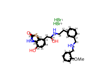 Br.Br.COc1ccccc1CNCc1cccc(CCNC(O)Cc2ccc(O)c3[nH]c(=O)sc23)c1